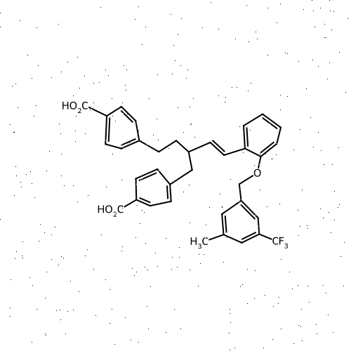 Cc1cc(COc2ccccc2/C=C/C(CCc2ccc(C(=O)O)cc2)Cc2ccc(C(=O)O)cc2)cc(C(F)(F)F)c1